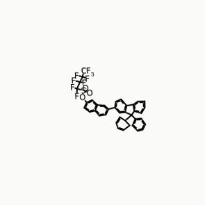 O=S(=O)(Oc1ccc2ccc(-c3ccc4c(c3)C(c3ccccc3)(C3C=CC=CC3)c3ccccc3-4)cc2c1)C(F)(F)C(F)(F)C(F)(F)C(F)(F)F